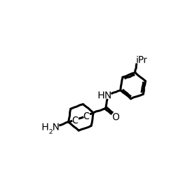 CC(C)c1cccc(NC(=O)C23CCC(N)(CC2)CC3)c1